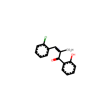 O=C(O)/C(=C/c1ccccc1Cl)C(=O)c1ccccc1O